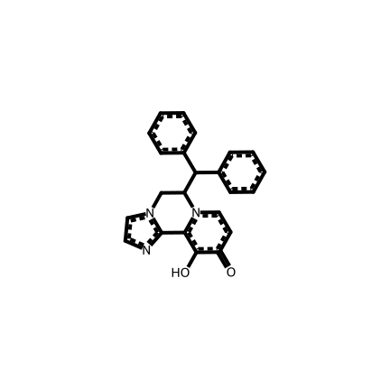 O=c1ccn2c(c1O)-c1nccn1CC2C(c1ccccc1)c1ccccc1